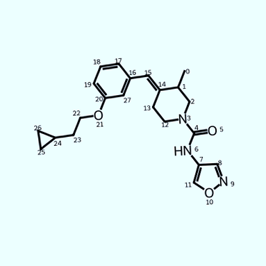 CC1CN(C(=O)Nc2cnoc2)CC/C1=C\c1cccc(OCCC2CC2)c1